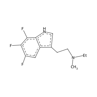 CCN(C)CCc1c[nH]c2c(F)c(F)c(F)cc12